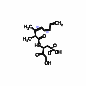 C=C/C=C\C=C(\C)C(C)C(=O)NC(CS(=O)(=O)O)C(=O)CO